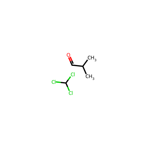 CC(C)C=O.ClC(Cl)Cl